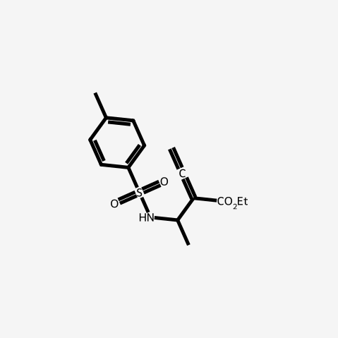 C=C=C(C(=O)OCC)C(C)NS(=O)(=O)c1ccc(C)cc1